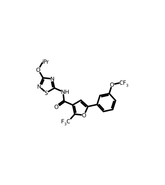 CC(C)Oc1nsc(NC(=O)c2cc(-c3cccc(OC(F)(F)F)c3)oc2C(F)(F)F)n1